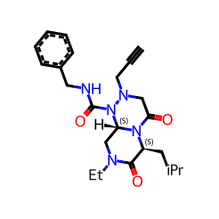 C#CCN1CC(=O)N2[C@@H](CC(C)C)C(=O)N(CC)C[C@@H]2N1C(=O)NCc1ccccc1